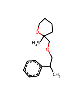 CC(COCC1([SiH3])CCCCO1)c1ccccc1